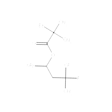 CCCC(CC(C)(F)C(F)(F)F)OC(=O)C(C)(C)CC